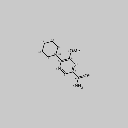 COc1nc(C(N)=O)cnc1N1CCCCC1